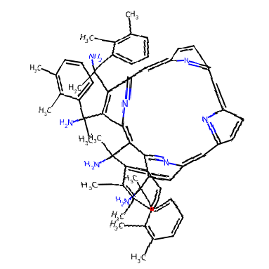 Cc1cccc(C(C)(N)C2=CC3=CC4=NC(=CC5=NC(=CC6=NC(=C(C(C)(N)c7cccc(C)c7C)C2=N3)C(C(C)(N)c2cccc(C)c2C)=C6C(C)(N)c2cccc(C)c2C)C=C5)C=C4)c1C